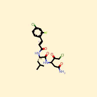 CC(C)C[C@H](NC(=O)/C=C/c1ccc(Cl)cc1F)C(=O)NC(CC(N)=O)C(=O)CCl